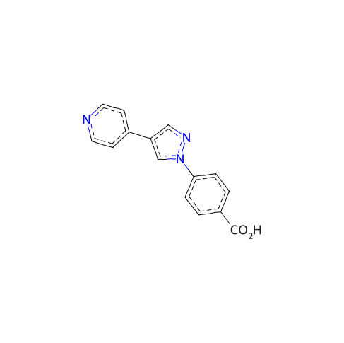 O=C(O)c1ccc(-n2cc(-c3ccncc3)cn2)cc1